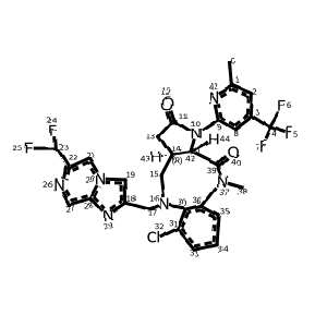 Cc1cc(C(F)(F)F)cc(N2C(=O)C[C@@H]3CN(Cc4cn5cc(C(F)F)ncc5n4)c4c(Cl)cccc4N(C)C(=O)[C@H]32)n1